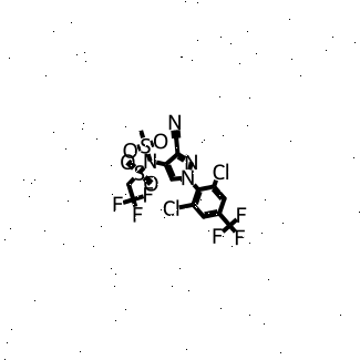 CS(=O)(=O)N(c1cn(-c2c(Cl)cc(C(F)(F)F)cc2Cl)nc1C#N)S(=O)(=O)CC(F)(F)F